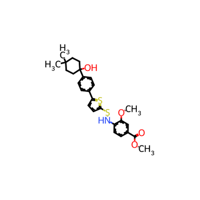 COC(=O)c1ccc(NSc2ccc(-c3ccc(C4(O)CCC(C)(C)CC4)cc3)s2)c(OC)c1